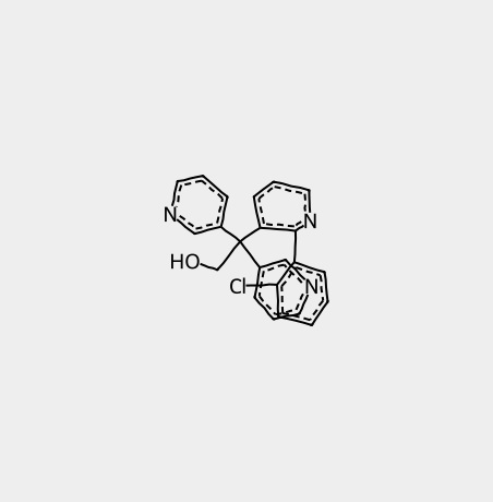 OCC(c1cccnc1)(c1cccnc1)c1cccnc1-c1ccccc1Cl